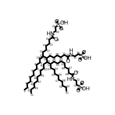 CCCCCCCCCC/C=C(/CCCCCC(=O)NCCS(=O)(=O)O)C(CCCCCC(=O)NCCS(=O)(=O)O)C(CCCCCCCCCC)C(CCCCCCCCC)CCCCCCCC(=O)NCCS(=O)(=O)O